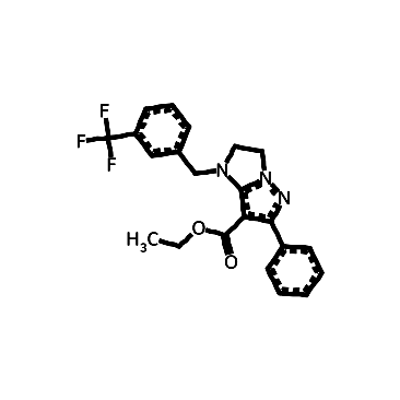 CCOC(=O)c1c(-c2ccccc2)nn2c1N(Cc1cccc(C(F)(F)F)c1)CC2